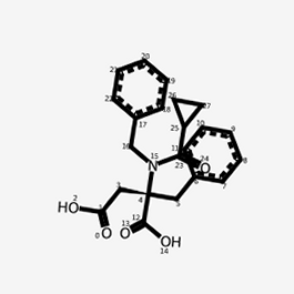 O=C(O)C[C@@](Cc1ccccc1)(C(=O)O)N(Cc1ccccc1)C(=O)C1CC1